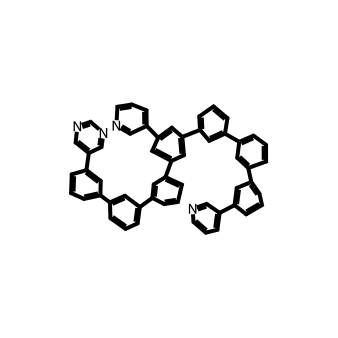 c1cncc(-c2cccc(-c3cccc(-c4cccc(-c5cc(-c6cccnc6)cc(-c6cccc(-c7cccc(-c8cccc(-c9cncnc9)c8)c7)c6)c5)c4)c3)c2)c1